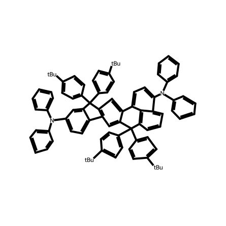 CC(C)(C)c1ccc(C2(c3ccc(C(C)(C)C)cc3)c3cc(N(c4ccccc4)c4ccccc4)ccc3-c3cc4c(cc32)-c2ccc(N(c3ccccc3)c3ccccc3)c3cccc(c23)C4(c2ccc(C(C)(C)C)cc2)c2ccc(C(C)(C)C)cc2)cc1